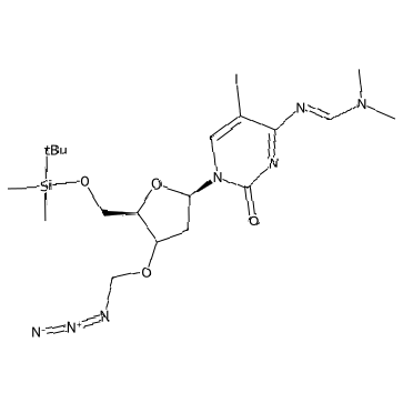 CN(C)/C=N/c1nc(=O)n([C@H]2CC(OCN=[N+]=[N-])[C@@H](CO[Si](C)(C)C(C)(C)C)O2)cc1I